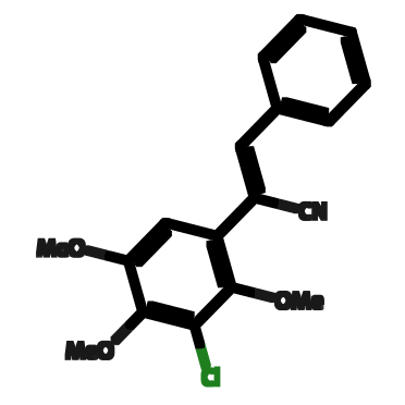 COc1cc(C(C#N)=Cc2ccccc2)c(OC)c(Cl)c1OC